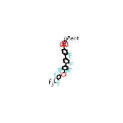 CCCCCC12COC(c3ccc(-c4ccc(-c5cc(F)c(C(F)(F)Oc6cc(F)c(C(F)(F)F)c(F)c6)c(F)c5)c(F)c4)c(F)c3)(OC1)OC2